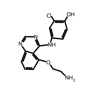 NCCOc1cccc2ncnc(Nc3ccc(O)c(Cl)c3)c12